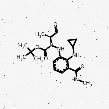 CNC(=O)c1cccc(NN(C(=O)OC(C)(C)C)[C@@H](C)C=O)c1NC1CC1